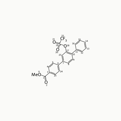 COC(=O)c1ccc(-c2ccc(-c3ccccc3)c(OS(=O)(=O)C(F)(F)F)c2)cc1